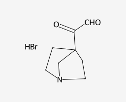 Br.O=CC(=O)C12CCN(CC1)C2